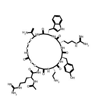 C=C(N)C1CCCNC(=O)CC[C@H](NC(=O)[C@H](CCCNC(=N)N)NC(C)=O)C(=O)N[C@@H](CCN)C(=O)N[C@H](Cc2ccc(O)cc2)C(=O)N[C@@H](CCCNC(=N)N)C(=O)N[C@@H](Cc2c[nH]c3ccccc23)C(=O)N1